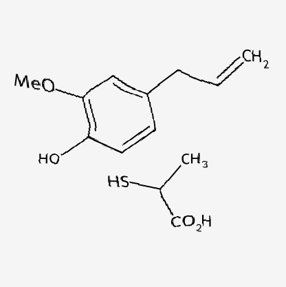 C=CCc1ccc(O)c(OC)c1.CC(S)C(=O)O